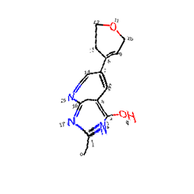 Cc1nc(O)c2cc(C3=CCOCC3)cnc2n1